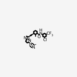 Cc1c(C#Cc2cnc3ccc(N4CCN(C)[C@H](C)C4)nn23)cccc1C(=O)Nc1cc(Cl)cc(C(F)(F)F)c1